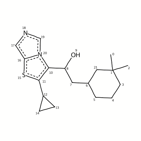 CC1(C)CCCC(CC(O)c2c(C3CC3)sc3cncn23)C1